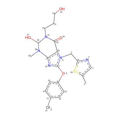 Cc1cnc(Cn2c(Oc3ccc(C(F)(F)F)cc3)nc3c2C(=O)N(CCCO)C(O)N3C)s1